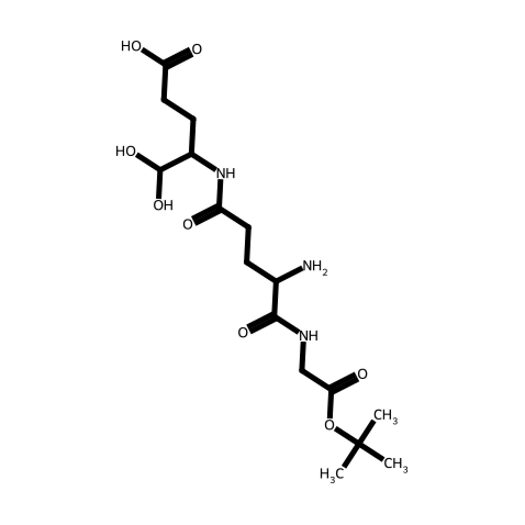 CC(C)(C)OC(=O)CNC(=O)C(N)CCC(=O)NC(CCC(=O)O)C(O)O